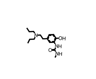 CCCN(CCC)CCc1ccc(O)c(NC(=O)NC)c1